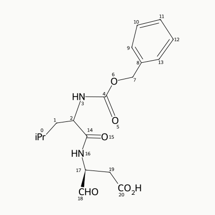 CC(C)CC(NC(=O)OCc1ccccc1)C(=O)N[C@H](C=O)CC(=O)O